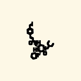 CCC(CC)CN1CC[C@@H](CNC(=O)/C=C/c2ccc(CI)cc2)N[C@@H](CN2CCCCC2)C1=O